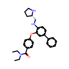 CCN(CC)C(=O)c1ccc(Oc2cc(-c3ccccc3)ccc2NC[C@@H]2CCCN2)cc1